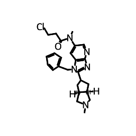 CN1C[C@H]2CC(c3nc4ncc(N(C)C(=O)CCCl)cc4n3Cc3ccccc3)C[C@H]2C1